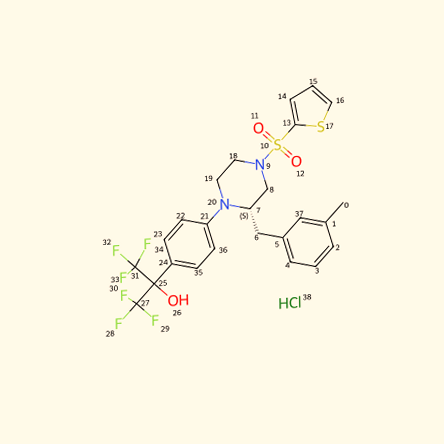 Cc1cccc(C[C@H]2CN(S(=O)(=O)c3cccs3)CCN2c2ccc(C(O)(C(F)(F)F)C(F)(F)F)cc2)c1.Cl